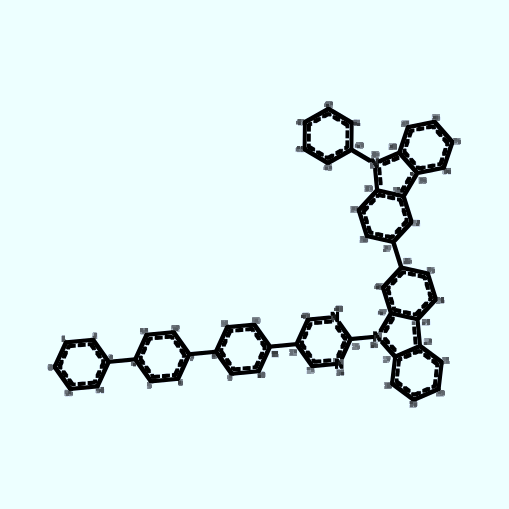 c1ccc(-c2ccc(-c3ccc(-c4cnc(-n5c6ccccc6c6ccc(-c7ccc8c(c7)c7ccccc7n8-c7ccccc7)cc65)nc4)cc3)cc2)cc1